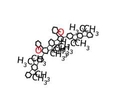 CC1(C)c2ccccc2-c2cc3c(cc21)-c1ccc(-c2cc4c(c5c2oc2ccccc25)-c2ccc5c(c2C4(C)C)C(C)(C)c2cc(-c4ccc6c(c4)C(C)(C)c4cc7c(cc4-6)C(C)(C)c4ccccc4-7)c4oc6ccccc6c4c2-5)cc1C3(C)C